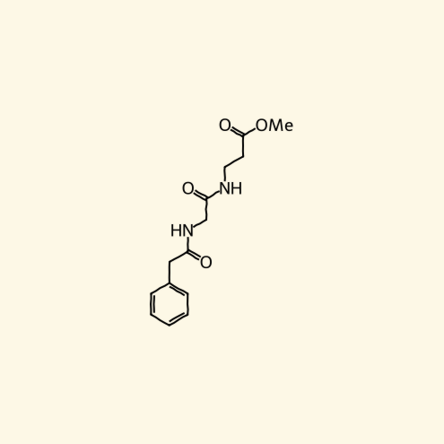 COC(=O)CCNC(=O)CNC(=O)Cc1ccccc1